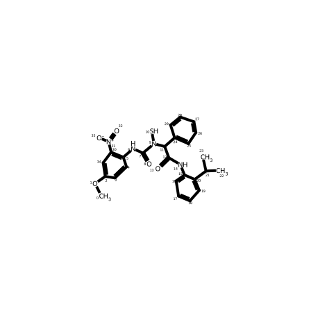 COc1ccc(NC(=O)N(S)C(C(=O)Nc2ccccc2C(C)C)c2ccccc2)c([N+](=O)[O-])c1